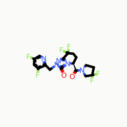 O=C([C@@H]1CCC(F)(F)c2nn(Cc3ncc(F)cc3F)c(=O)n21)N1CCC(F)(F)C1